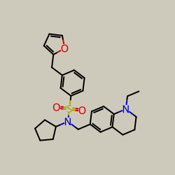 CCN1CCCc2cc(CN(C3CCCC3)S(=O)(=O)c3cccc(Cc4ccco4)c3)ccc21